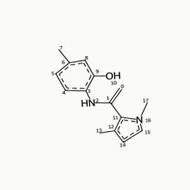 C=C(Nc1ccc(C)cc1O)c1c(C)ccn1C